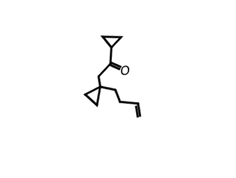 C=CCCC1(CC(=O)C2CC2)CC1